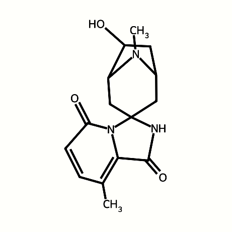 Cc1ccc(=O)n2c1C(=O)NC21CC2CC(O)C(C1)N2C